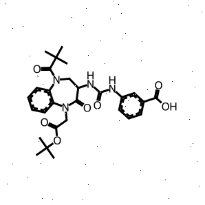 CC(C)(C)OC(=O)CN1C(=O)C(NC(=O)Nc2cccc(C(=O)O)c2)CN(C(=O)C(C)(C)C)c2ccccc21